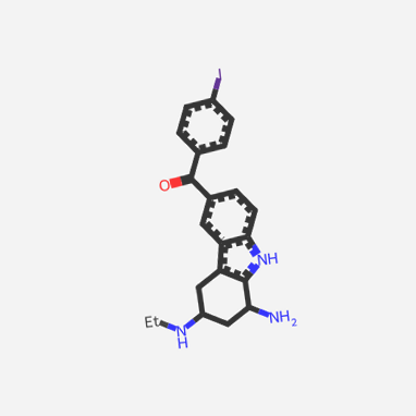 CCNC1Cc2c([nH]c3ccc(C(=O)c4ccc(I)cc4)cc23)C(N)C1